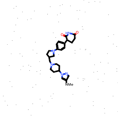 CNc1cnn(C2CCN(CC3CCN(c4ccc(C5CCC(=O)NC5=O)cc4)C3)CC2)c1